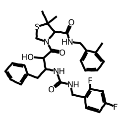 Cc1ccccc1CNC(=O)C1N(C(=O)C(O)C(Cc2ccccc2)NC(=O)NCc2ccc(F)cc2F)CSC1(C)C